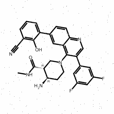 CNC(=O)[C@@H]1CN(c2c(-c3cc(F)cc(F)c3)cnc3ccc(-c4cccc(C#N)c4O)cc23)CC[C@H]1N